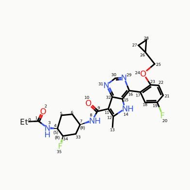 CCC(=O)N[C@H]1CC[C@@H](NC(=O)c2c(C)[nH]c3c(-c4cc(F)ccc4OCC4CC4)ncnc23)C[C@H]1F